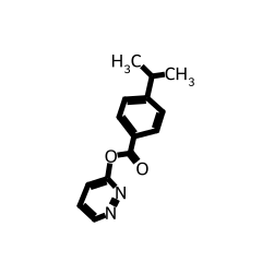 CC(C)c1ccc(C(=O)Oc2cccnn2)cc1